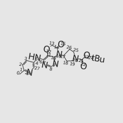 Cc1ccc(Nc2ncnc3c2OCC(=O)N3C2CCN(C(=O)OC(C)(C)C)CC2)cn1